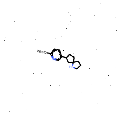 COc1ccc(C2CCC3(CCCN3)C2)cn1